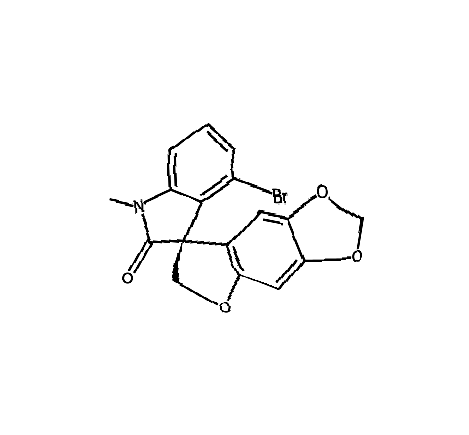 CN1C(=O)[C@]2(COc3cc4c(cc32)OCO4)c2c(Br)cccc21